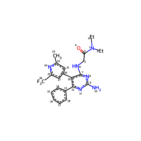 CCN(CC)C(=O)CNc1nc(N)nc(-c2ccccc2)c1-c1cc(C)nc(C(F)(F)F)c1